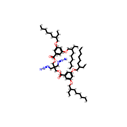 CCCCCCC(CC)COc1cc(OCC(CC)CCCCCC)cc(C(=O)OCC(CN=[N+]=[N-])(CN=[N+]=[N-])COC(=O)c2cc(OCC(CC)CCCCCC)cc(OCC(CC)CCCCCC)c2)c1